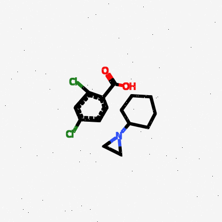 C1CCC(N2CC2)CC1.O=C(O)c1ccc(Cl)cc1Cl